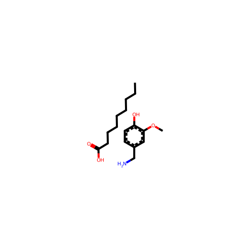 CCCCCCCCC(=O)O.COc1cc(CN)ccc1O